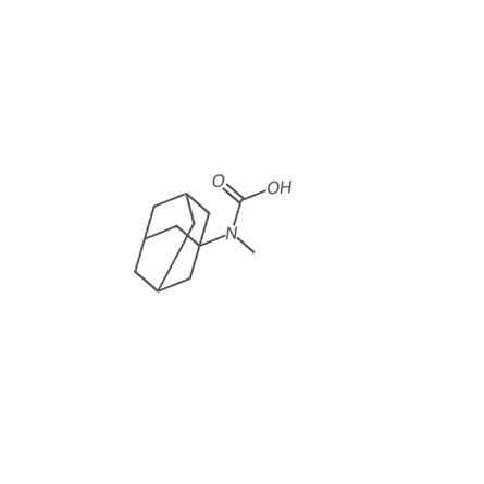 CN(C(=O)O)C12CC3CC(CC(C3)C1)C2